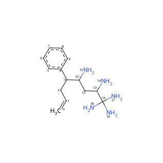 C=CCC(c1ccccc1)C(N)CC(N)C(N)(N)N